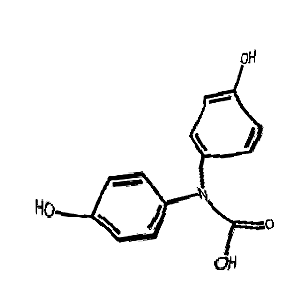 O=C(O)N(c1ccc(O)cc1)c1ccc(O)cc1